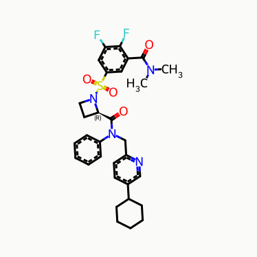 CN(C)C(=O)c1cc(S(=O)(=O)N2CC[C@@H]2C(=O)N(Cc2ccc(C3CCCCC3)cn2)c2ccccc2)cc(F)c1F